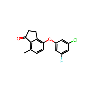 Cc1ccc(Oc2cc(F)cc(Cl)c2)c2c1C(=O)CC2